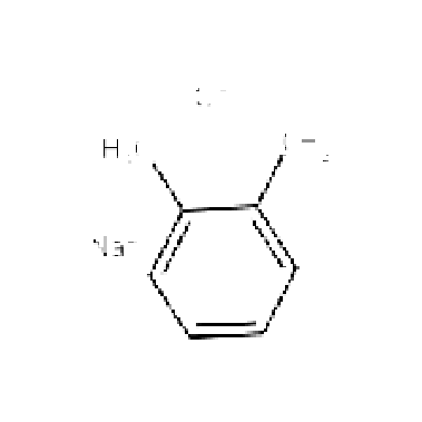 Cc1ccccc1C.[Cl-].[Na+]